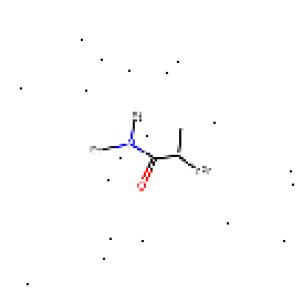 CCCC(C)C(=O)N(CC)CC